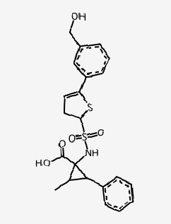 CC1C(c2ccccc2)C1(NS(=O)(=O)C1CC=C(c2cccc(CO)c2)S1)C(=O)O